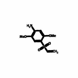 C=CS(=O)(=O)c1cc(OC)c(N)cc1OC